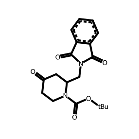 CC(C)(C)OC(=O)N1CCC(=O)CC1CN1C(=O)c2ccccc2C1=O